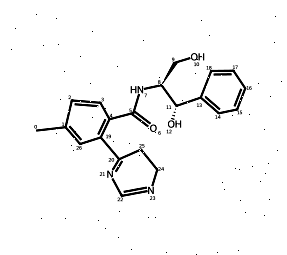 Cc1ccc(C(=O)N[C@@H](CO)[C@@H](O)c2ccccc2)c(C2=NC=NCC2)c1